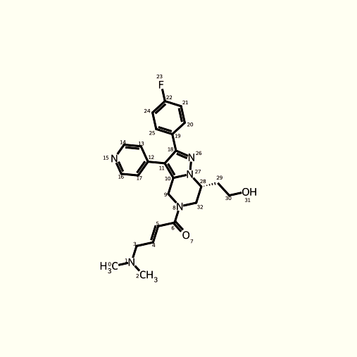 CN(C)C/C=C/C(=O)N1Cc2c(-c3ccncc3)c(-c3ccc(F)cc3)nn2[C@H](CCO)C1